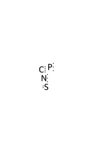 [C].[N].[P].[S]